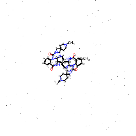 CN1CCC2(CC1)CN(C(=O)N1c3ccccc3C(=O)Nc3cccnc31)C2.Cc1ccc2c(c1)C(=O)Nc1cccnc1N2C(=O)N1CC2(CCN(C)CC2)C1